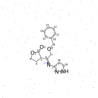 O=C1OCCC1/C(COCc1ccccc1)=N/c1cc[nH]n1